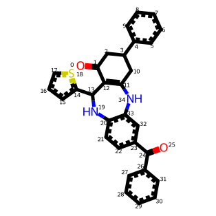 O=C1CC(c2ccccc2)CC2=C1C(c1cccs1)Nc1ccc(C(=O)c3ccccc3)cc1N2